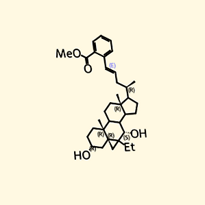 CCC12C[C@]13C[C@H](O)CC[C@]3(C)C1CC[C@@]3(C)C(CCC3[C@H](C)C/C=C/c3ccccc3C(=O)OC)C1[C@@H]2O